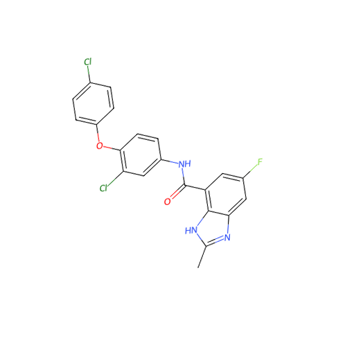 Cc1nc2cc(F)cc(C(=O)Nc3ccc(Oc4ccc(Cl)cc4)c(Cl)c3)c2[nH]1